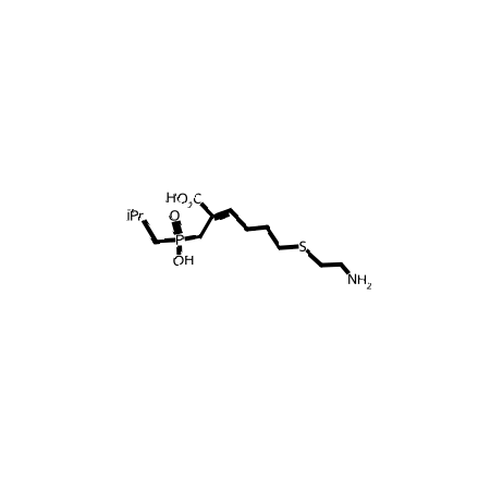 CC(C)CP(=O)(O)C/C(=C\CCCSCCN)C(=O)O